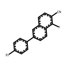 CCc1ccc(-c2ccc3c(F)c(C#N)ccc3c2)cc1